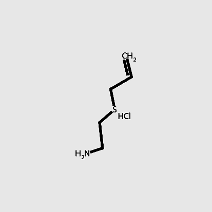 C=CCSCCN.Cl